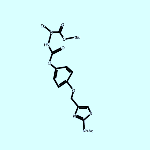 CCN(NC(=O)Oc1ccc(OCc2csc(NC(C)=O)n2)cc1)C(=O)OC(C)(C)C